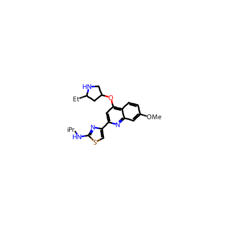 CCC1CC(Oc2cc(-c3csc(NC(C)C)n3)nc3cc(OC)ccc23)CN1